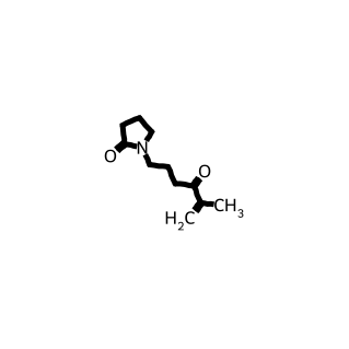 C=C(C)C(=O)CCCN1CCCC1=O